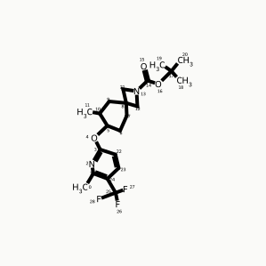 Cc1nc(OC2CCC3(CC2C)CN(C(=O)OC(C)(C)C)C3)ccc1C(F)(F)F